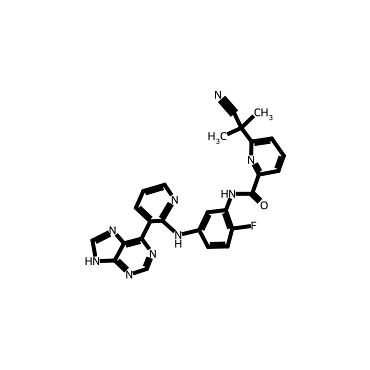 CC(C)(C#N)c1cccc(C(=O)Nc2cc(Nc3ncccc3-c3ncnc4[nH]cnc34)ccc2F)n1